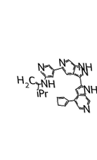 C=C(Nc1cncc(-c2cc3c(-c4cc5c(C6=CCC=C6)cncc5[nH]4)n[nH]c3cn2)c1)C(C)C